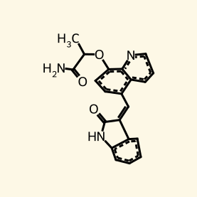 CC(Oc1ccc(C=C2C(=O)Nc3ccccc32)c2cccnc12)C(N)=O